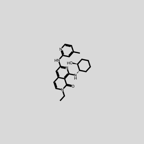 CCn1ccc2cc(Nc3cc(C)ccn3)nc(N[C@H]3CCCC[C@@H]3O)c2c1=O